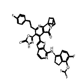 O=C1c2c(nc(CCc3ccc(F)cc3)c(-c3n[nH]c(=O)o3)c2-c2cc3ccnc(N[C@@H]4CCc5c4ccc(F)c5OC(F)F)c3s2)C23CC(CN12)C3